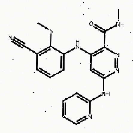 CNC(=O)c1nnc(Nc2ccccn2)cc1Nc1cccc(C#N)c1SC